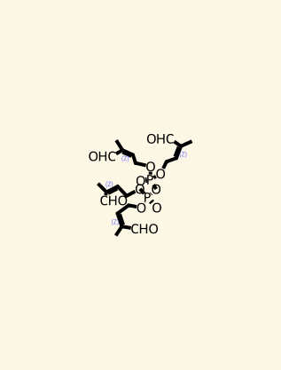 C/C(C=O)=C/COP(=O)(OC/C=C(/C)C=O)OP(=O)(OC/C=C(/C)C=O)OC/C=C(/C)C=O